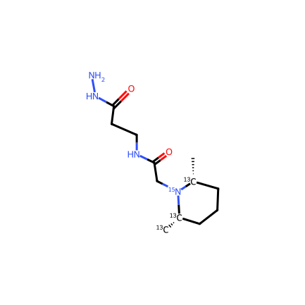 C[13C@@H]1CCC[13C@H]([13CH3])[15N]1CC(=O)NCCC(=O)NN